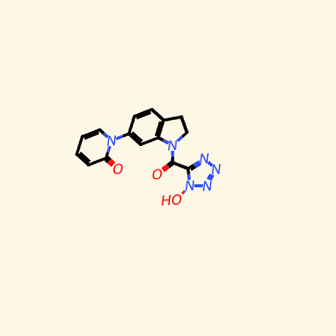 O=C(c1nnnn1O)N1CCc2ccc(-n3ccccc3=O)cc21